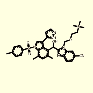 Cc1ccc(S(=O)(=O)n2cc(-c3ccn[nH]3)c3c(C(O)c4nc5ccc(C#N)cc5n4COCC[Si](C)(C)C)c(C)cc(C)c32)cc1